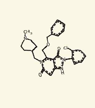 CN1CCC(Cn2c(COCc3ccccc3)c3c(=O)n(-c4ccccc4Cl)[nH]c3cc2=O)CC1